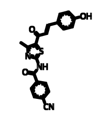 Cc1nc(NC(=O)c2ccc(C#N)cc2)sc1C(=O)C=Cc1ccc(O)cc1